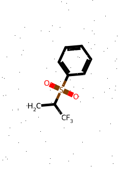 [CH2]C(C(F)(F)F)S(=O)(=O)c1ccccc1